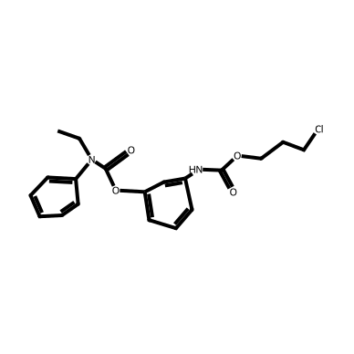 CCN(C(=O)Oc1cccc(NC(=O)OCCCCl)c1)c1ccccc1